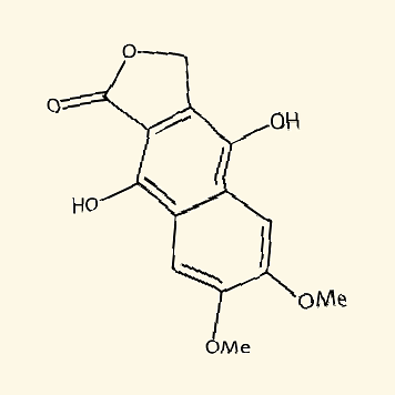 COc1cc2c(O)c3c(c(O)c2cc1OC)C(=O)OC3